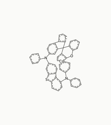 c1ccc(N(c2ccc3c(c2)C2(c4ccccc4Oc4ccccc42)c2ccccc2-3)c2ccc3c(c2)sc2cccc(N(c4ccccc4)c4ccccc4)c23)cc1